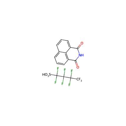 O=C1NC(=O)c2cccc3cccc1c23.O=S(=O)(O)C(F)(F)C(F)(F)C(F)(F)C(F)(F)F